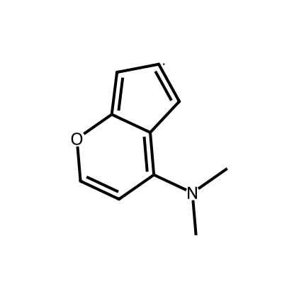 CN(C)c1ccoc2c[c]cc1-2